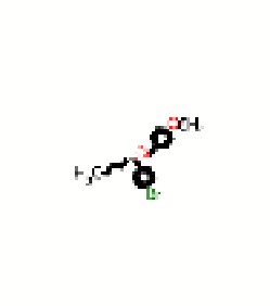 CCCCC[C@H](OCc1ccc(OC)cc1)c1ccc(Br)cc1